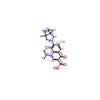 C[C@H]1COc2c(N3CC(C)(N)C4(CC4)C3)c(F)cc3c(=O)c(C(=O)O)cn1c23